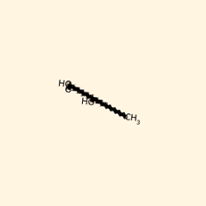 CCCCCCCCCCCCCCCC(O)CCCCCCCCCC(=O)O